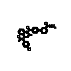 CC(=O)N(c1ccc(Cl)cc1)C1CC(C)N(C(=O)c2ccc(N3CCCC(C(N)=O)C3)cc2)c2ccccc21